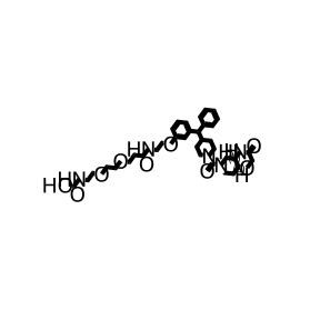 O=C(O)NCCOCCOCCC(=O)NCCOc1cccc(C(c2ccccc2)C2CCN(C(=O)N3CC[C@@H]4OCC(=O)N[C@@H]4C3)CC2)c1